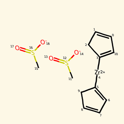 C1=CC[C]([Zr+2][C]2=CC=CC2)=C1.CS(=O)[O-].CS(=O)[O-]